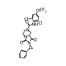 O=C(Nc1c(Cl)cc(OC(F)(F)F)cc1Cl)N1CCN2C(=O)N(C3CC3c3ccccc3)C(=O)C2C1